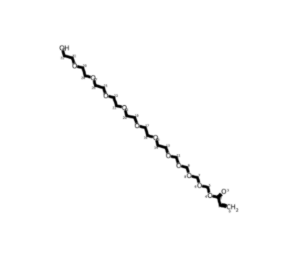 C=CC(=O)OCOCOCOCOCCOCCOCCOCCOCCOCCOCCO